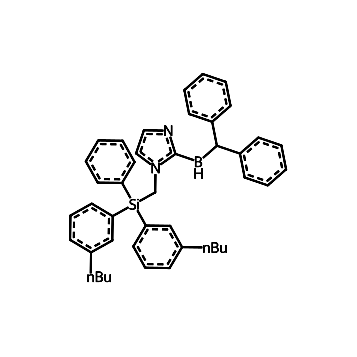 CCCCc1cccc([Si](Cn2ccnc2BC(c2ccccc2)c2ccccc2)(c2ccccc2)c2cccc(CCCC)c2)c1